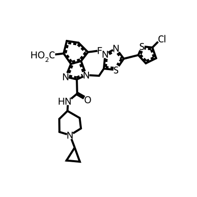 O=C(O)c1ccc(F)c2c1nc(C(=O)NC1CCN(C3CC3)CC1)n2Cc1nnc(-c2ccc(Cl)s2)s1